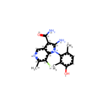 Cc1ccc(O)c(C)c1-n1c(N)c(C(N)=O)c2cnc(C)c(F)c21